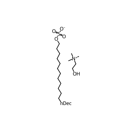 CCCCCCCCCCCCCCCCCCCCCCOS(=O)(=O)[O-].C[N+](C)(C)CCO